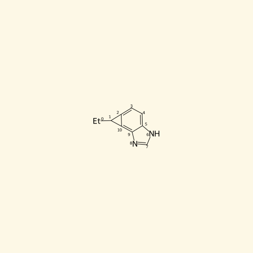 CCC1c2ccc3[nH]cnc3c21